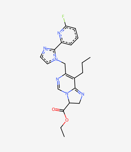 CCCC1=C(Cn2ccnc2-c2cccc(F)n2)N=CN2C1=NCC2C(=O)OCC